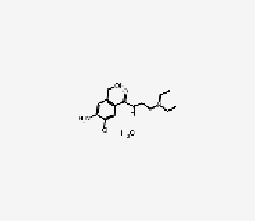 CCN(CC)CCNC(=O)c1cc(Cl)c(N)cc1CO.O